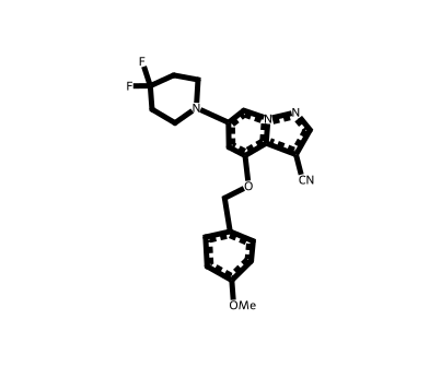 COc1ccc(COc2cc(N3CCC(F)(F)CC3)cn3ncc(C#N)c23)cc1